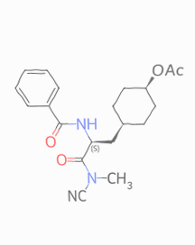 CC(=O)O[C@H]1CC[C@@H](C[C@H](NC(=O)c2ccccc2)C(=O)N(C)C#N)CC1